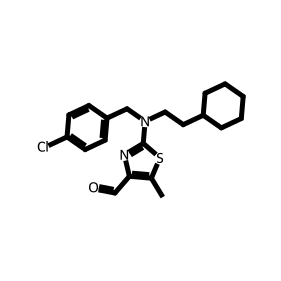 Cc1sc(N(CCC2CCCCC2)Cc2ccc(Cl)cc2)nc1C=O